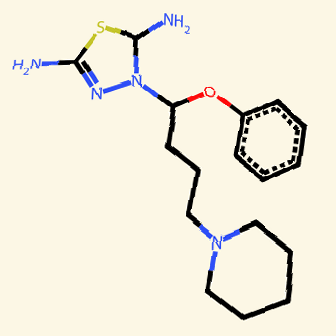 NC1=NN(C(CCCN2CCCCC2)Oc2ccccc2)C(N)S1